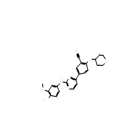 COc1cc(Nc2nccc(-c3ccc(OC4CCOCC4)c(C#N)c3)n2)ccc1O